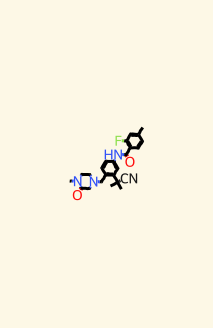 Cc1ccc(C(=O)Nc2ccc(CN3CCN(C)C(=O)C3)c(C(C)(C)C#N)c2)c(F)c1